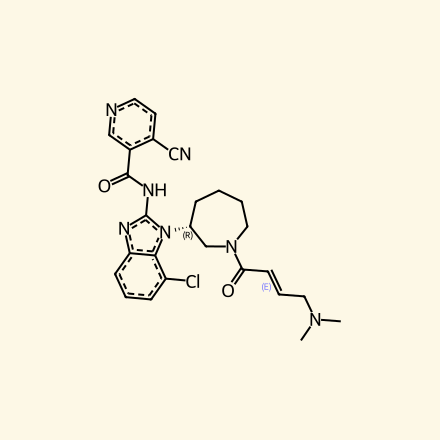 CN(C)C/C=C/C(=O)N1CCCC[C@@H](n2c(NC(=O)c3cnccc3C#N)nc3cccc(Cl)c32)C1